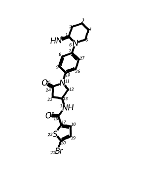 N=C1CCCCN1c1ccc(N2CC(NC(=O)c3ccc(Br)s3)CC2=O)cc1